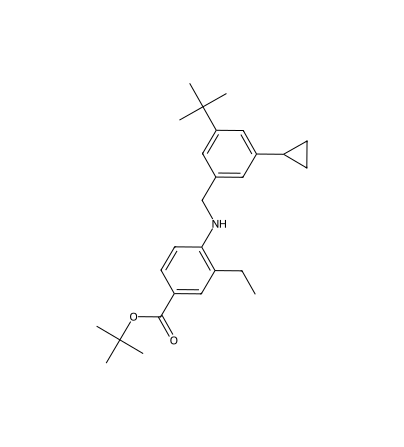 CCc1cc(C(=O)OC(C)(C)C)ccc1NCc1cc(C2CC2)cc(C(C)(C)C)c1